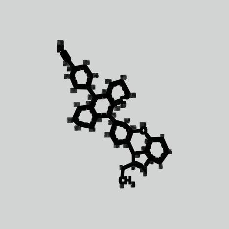 CCC1=Nc2cccc3c2C1c1ccc(-c2c4ccccc4c(-c4ccc(C#N)cc4)c4ccccc24)cc1O3